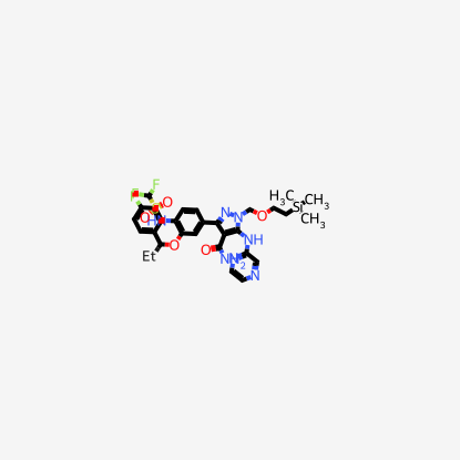 CCC(Oc1cc(-c2nn(COCC[Si](C)(C)C)c(Nc3cnccn3)c2C(N)=O)ccc1NS(=O)(=O)C(F)F)c1ccc(F)cc1